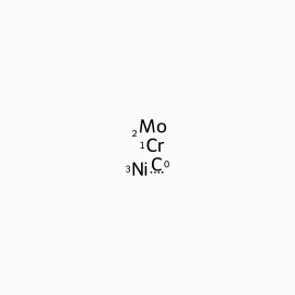 [C].[Cr].[Mo].[Ni]